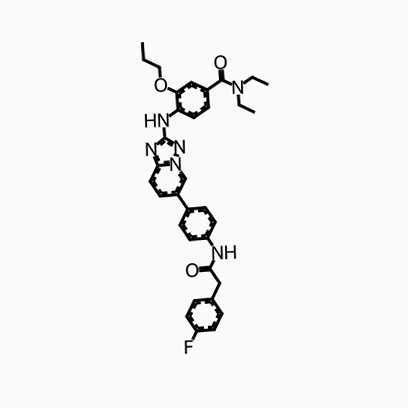 CCCOc1cc(C(=O)N(CC)CC)ccc1Nc1nc2ccc(-c3ccc(NC(=O)Cc4ccc(F)cc4)cc3)cn2n1